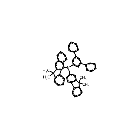 CC1(C)c2ccccc2-c2ccc(N(c3cc(-c4ccccc4)cc(-c4ccccc4)c3)c3c4c(cc5ccccc35)C(C)(C)c3ccccc3-4)cc21